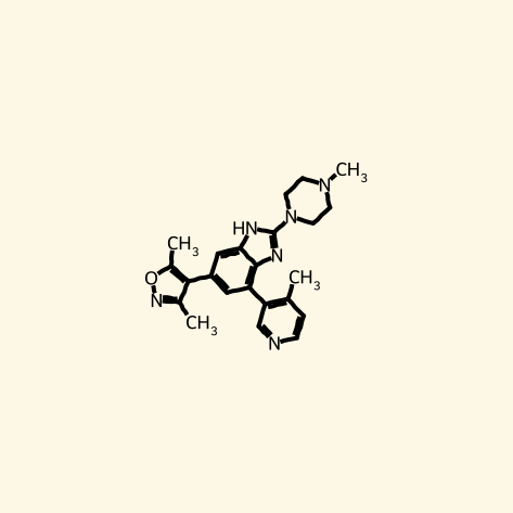 Cc1ccncc1-c1cc(-c2c(C)noc2C)cc2[nH]c(N3CCN(C)CC3)nc12